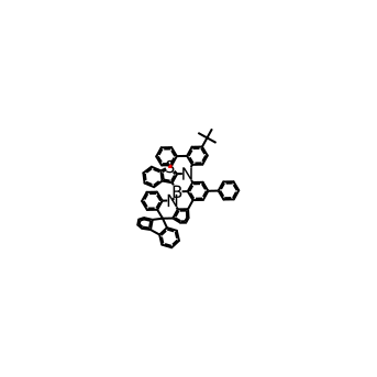 CC(C)(C)c1ccc(N2c3cc(-c4ccccc4)cc4c3B(c3c2sc2ccccc32)N2c3ccccc3C3(c5ccccc5-c5ccccc53)c3cccc-4c32)c(-c2ccccc2)c1